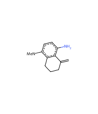 C=C1CCCc2c(NC)ccc(N)c21